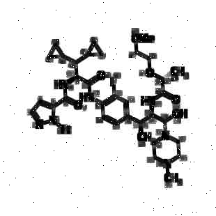 CCn1nccc1C(=O)N[C@H](C(=O)Nc1ccc([C@H](C)[C@@H](NC(=O)[C@@H](C)OCCOC)C(O)N2CCN(C)CC2)cc1F)C(C1CC1)C1CC1